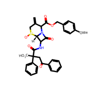 C=C1C[S+]([O-])[C@H]2C(NC(=O)C(CC(=O)c3ccccc3)(C(=O)O)c3ccccc3)C(=O)N2C1C(=O)OCc1ccc(OC)cc1